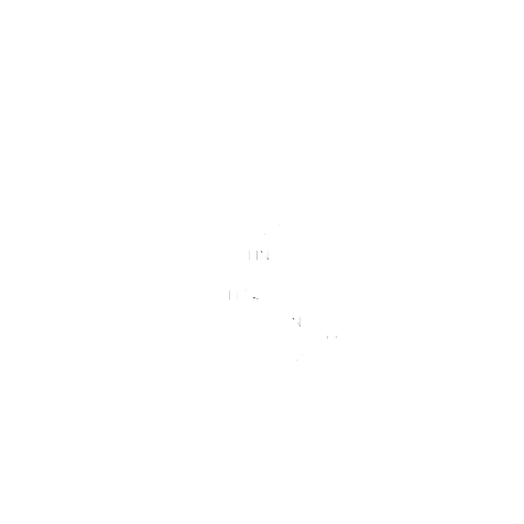 O=C(NC[C@@H]1CN(C(=O)O)C[C@H]1O)OCc1ccccc1